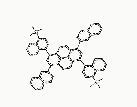 C[Si](C)(C)c1ccc(-c2cc(-c3ccc4ccccc4c3)c3ccc4c(-c5ccc([Si](C)(C)C)c6ccccc56)cc(-c5ccc6ccccc6c5)c5ccc2c3c54)c2ccccc12